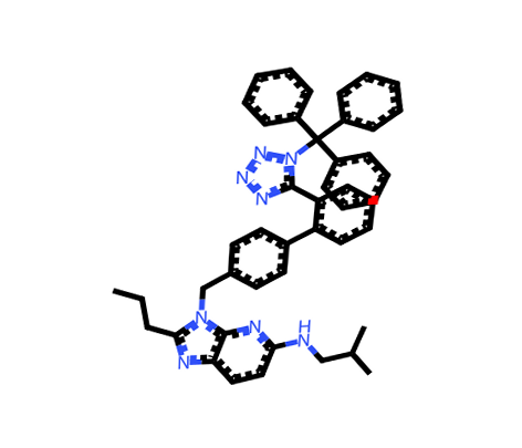 CCCc1nc2ccc(NCC(C)C)nc2n1Cc1ccc(-c2ccccc2-c2nnnn2C(c2ccccc2)(c2ccccc2)c2ccccc2)cc1